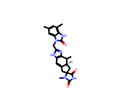 Cc1cc(C)c2[nH]c(=O)n(Cc3nc4c([nH]3)C=C3CC5(C[C@@H]3C4C)C(=O)NC(=O)N5C)c2c1